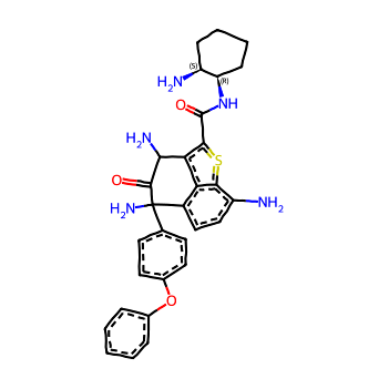 Nc1ccc2c3c(c(C(=O)N[C@@H]4CCCC[C@@H]4N)sc13)C(N)C(=O)C2(N)c1ccc(Oc2ccccc2)cc1